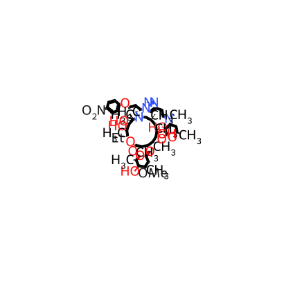 CC[C@H]1OC(=O)[C@H](C)[C@@H](OC2C[C@@](C)(OC)[C@@H](O)[C@H](C)O2)[C@H](C)[C@@H](O[C@@H]2O[C@H](C)C[C@H](N(C)CCc3cn(CCCOc4ccc([N+](=O)[O-])cc4)nn3)[C@H]2O)[C@](C)(O)C[C@@H](C)CN(C)[C@H](C)[C@@H](O)[C@]1(C)O